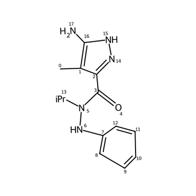 Cc1c(C(=O)N(Nc2ccccc2)C(C)C)n[nH]c1N